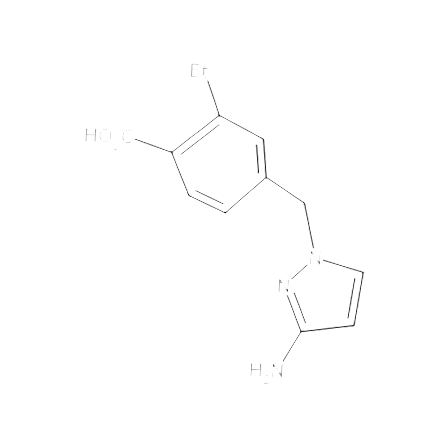 CCc1cc(Cn2ccc(N)n2)ccc1C(=O)O